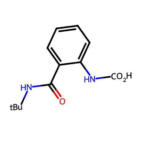 CC(C)(C)NC(=O)c1ccccc1NC(=O)O